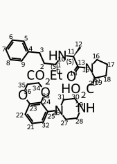 CCOC(=O)[C@H](CCc1ccccc1)N[C@@H](C)C(=O)N1CCC[C@H]1C(=O)O.c1cc2c(c(N3CCNCC3)c1)OCCO2